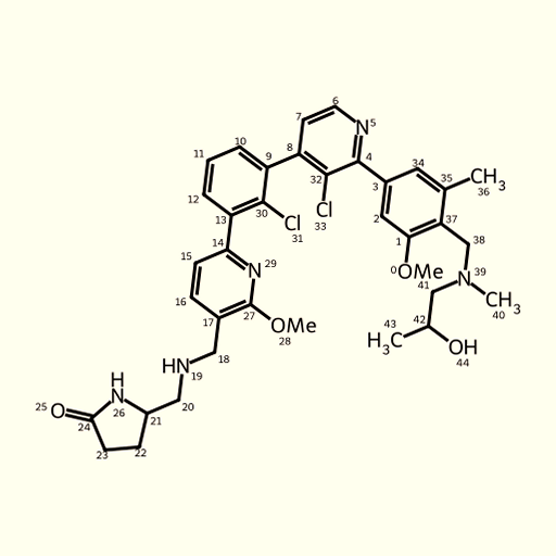 COc1cc(-c2nccc(-c3cccc(-c4ccc(CNCC5CCC(=O)N5)c(OC)n4)c3Cl)c2Cl)cc(C)c1CN(C)CC(C)O